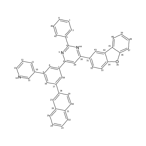 c1ccc(-c2nc(-c3cc(-c4cccnc4)cc(-c4ccc5ccccc5c4)c3)cc(-c3ccc4oc5ccccc5c4c3)n2)cc1